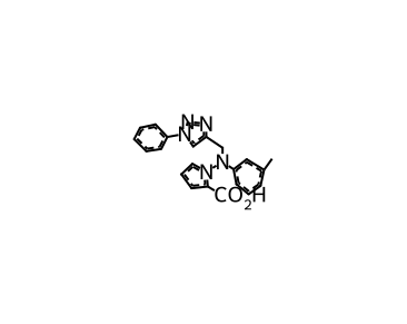 Cc1cccc(N(Cc2cn(-c3ccccc3)nn2)n2cccc2C(=O)O)c1